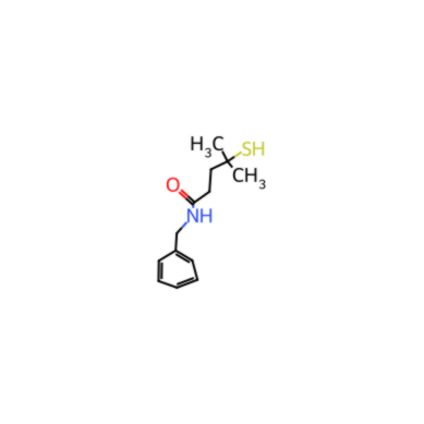 CC(C)(S)CCC(=O)NCc1ccccc1